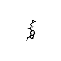 O=Cc1csc2ccc(C(=O)NCC3CC3)cc12